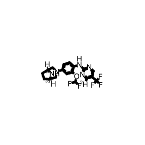 [2H]c1nc(Nc2ccc(N3C[C@H]4CC[C@@H](C3)N4)cc2OC(F)F)ncc1C(F)(F)F